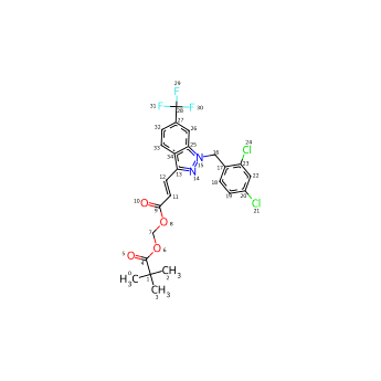 CC(C)(C)C(=O)OCOC(=O)C=Cc1nn(Cc2ccc(Cl)cc2Cl)c2cc(C(F)(F)F)ccc12